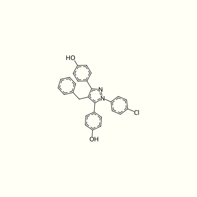 Oc1ccc(-c2nn(-c3ccc(Cl)cc3)c(-c3ccc(O)cc3)c2Cc2ccccc2)cc1